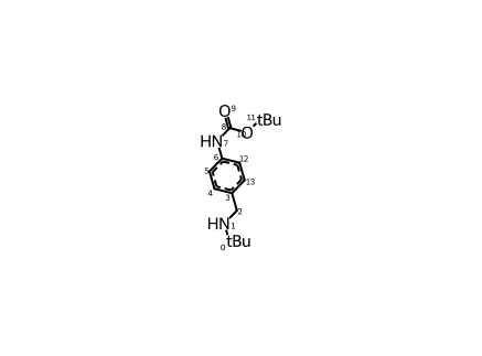 CC(C)(C)NCc1ccc(NC(=O)OC(C)(C)C)cc1